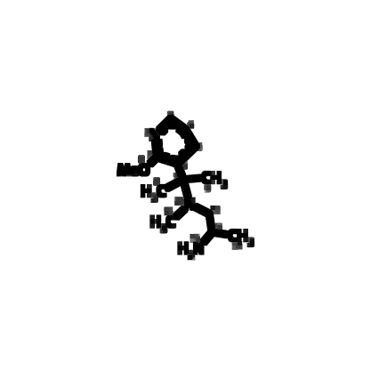 COc1ncccc1C(C)(C)N(C)CC(C)N